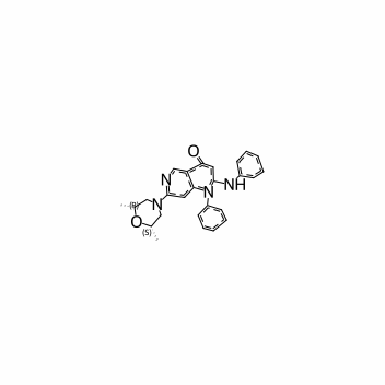 C[C@@H]1CN(c2cc3c(cn2)c(=O)cc(Nc2ccccc2)n3-c2ccccc2)C[C@H](C)O1